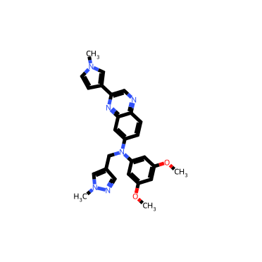 COc1cc(OC)cc(N(Cc2cnn(C)c2)c2ccc3ncc(-c4ccn(C)c4)nc3c2)c1